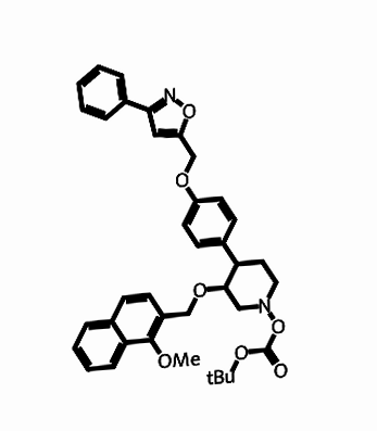 COc1c(COC2CN(OC(=O)OC(C)(C)C)CCC2c2ccc(OCc3cc(-c4ccccc4)no3)cc2)ccc2ccccc12